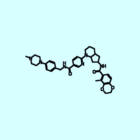 Cc1c(C(=O)NC2CC3CCCN(c4ccc(C(=O)NCc5ccc(N6CCN(C)CC6)cc5)cn4)C3C2)ccc2c1OCCO2